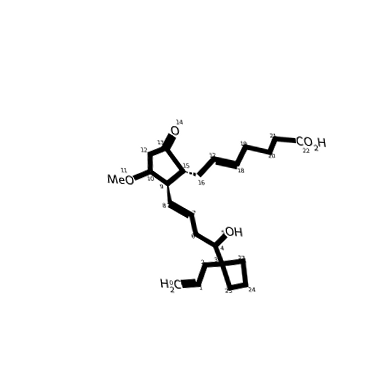 C=CCC1(C(O)CC=C[C@H]2C(OC)CC(=O)[C@@H]2CC=CCCCC(=O)O)CCC1